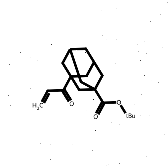 C=CC(=O)C12CC3CC(C1)CC(C(=O)OC(C)(C)C)(C3)C2